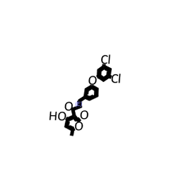 Cc1cc(O)c(C(=O)/C=C/c2cccc(Oc3cc(Cl)cc(Cl)c3)c2)c(=O)o1